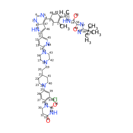 Cc1cc(-c2ncnc3[nH]c(-c4ccc(N5CCN(CCC6CCN(c7ccc(N8CCC(=O)NC8=O)c(Cl)c7)CC6)CC5)nc4)cc23)ccc1C(C)NC(=O)c1nc(C(C)(C)C)no1